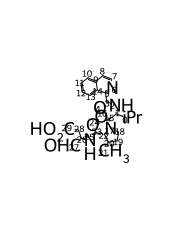 CC(C)[C@H](NC(=O)c1nccc2ccccc12)C(=O)N1CC[C@H](C)[C@H]1C(=O)N[C@H](C=O)CC(=O)O